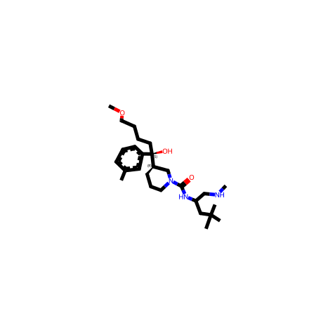 CNCC(CC(C)(C)C)NC(=O)N1CCC[C@@H]([C@@](O)(CCCCOC)c2cccc(C)c2)C1